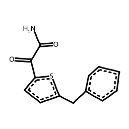 NC(=O)C(=O)c1ccc(Cc2ccccc2)s1